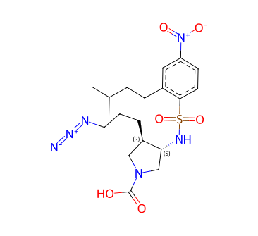 CC(C)CCc1cc([N+](=O)[O-])ccc1S(=O)(=O)N[C@@H]1CN(C(=O)O)C[C@H]1CCCN=[N+]=[N-]